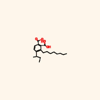 CCCCCCCCc1c(C(C)CC)ccc(C(=O)O)c1C(=O)O